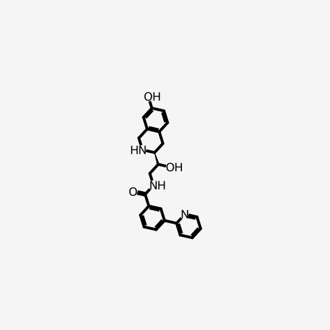 O=C(NCC(O)[C@@H]1Cc2ccc(O)cc2CN1)c1cccc(-c2ccccn2)c1